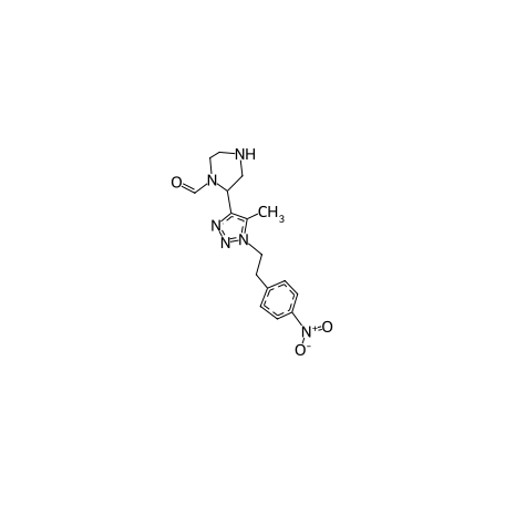 Cc1c(C2CNCCN2C=O)nnn1CCc1ccc([N+](=O)[O-])cc1